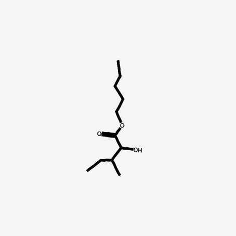 CCCCCOC(=O)C(O)C(C)CC